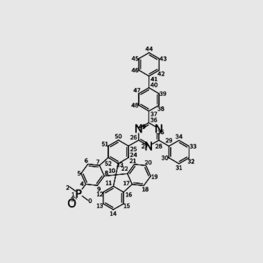 CP(C)(=O)c1ccc2c(c1)C1(c3ccccc3-c3ccccc31)c1cc(-c3nc(-c4ccccc4)nc(-c4ccc(-c5ccccc5)cc4)n3)ccc1-2